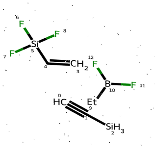 C#C[SiH3].C=C[Si](F)(F)F.CCB(F)F